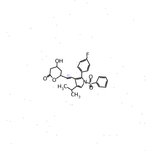 CC(C)c1cn(S(=O)(=O)c2ccccc2)c(-c2ccc(F)cc2)c1/C=C/C1CC(O)CC(=O)O1